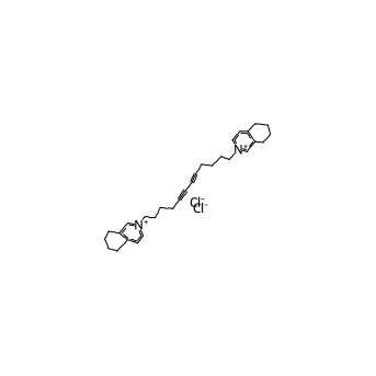 C(C#CCCCC[n+]1ccc2c(c1)CCCC2)#CCCCC[n+]1ccc2c(c1)CCCC2.[Cl-].[Cl-]